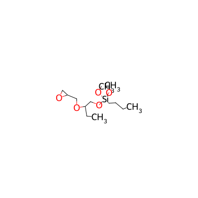 CCCC[Si](OC)(OC)OCC(CC)OCC1CO1